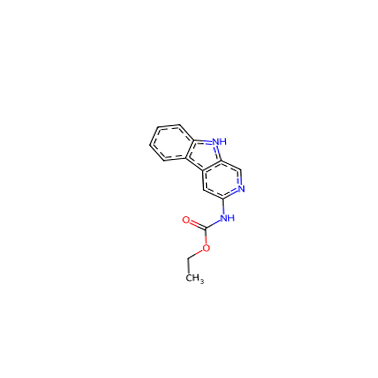 CCOC(=O)Nc1cc2c(cn1)[nH]c1ccccc12